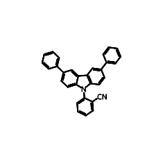 N#Cc1ccccc1-n1c2ccc(-c3ccccc3)cc2c2cc(-c3ccccc3)ccc21